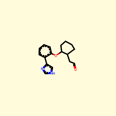 O=CCC1CCCCC1Oc1ccccc1-c1c[nH]cn1